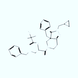 CC(C)(N)C(=O)N[C@H](COCc1ccccc1)C(=O)N1CCC2=NN(CC3CC3)C(=O)C2(Cc2ccccc2)C1